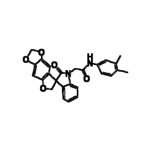 Cc1ccc(NC(=O)CN2C(=O)C3(COc4cc5c(cc43)OCO5)c3ccccc32)cc1C